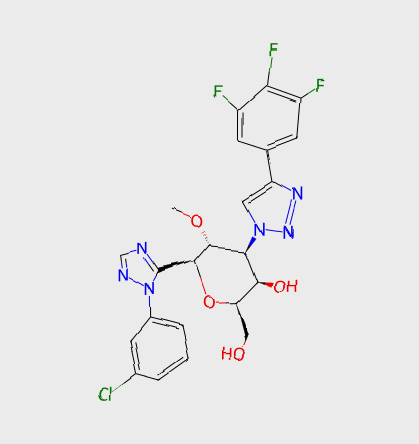 CO[C@@H]1[C@@H](n2cc(-c3cc(F)c(F)c(F)c3)nn2)[C@@H](O)[C@@H](CO)O[C@H]1c1ncnn1-c1cccc(Cl)c1